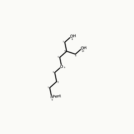 CCCCCCCCOCC(CO)CO